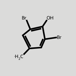 [CH2]c1cc(Br)c(O)c(Br)c1